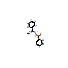 CC(=O)/C(=N\OC(=O)c1ccccc1)c1ccccc1